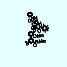 CNC(=O)c1cc(-c2cccc(CN3O[C@@H](CNC(=O)Nc4ccccc4)[C@@H]([C@H](C)O)[C@H]3C(=O)N[C@H]3C[C@@H](C)C(C)(C)[C@@H](C)[C@@H]3C)c2OC)cc(N(C)C)c1